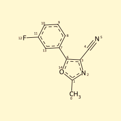 Cc1nc(C#N)c(-c2cccc(F)c2)o1